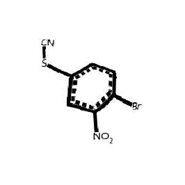 N#CSc1ccc(Br)c([N+](=O)[O-])c1